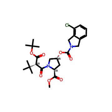 COC(=O)[C@@H]1C[C@@H](OC(=O)N2Cc3cccc(Cl)c3C2)CN1C(=O)[C@@H](C(=O)OC(C)(C)C)C(C)(C)C